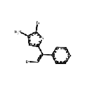 Nc1cc(C(=CBr)c2ccccc2)sc1Br